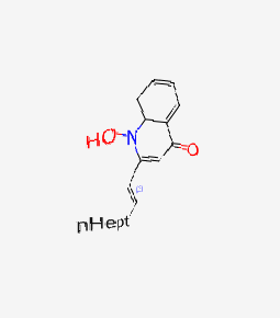 CCCCCCC/C=C/C1=CC(=O)C2=CC=CCC2N1O